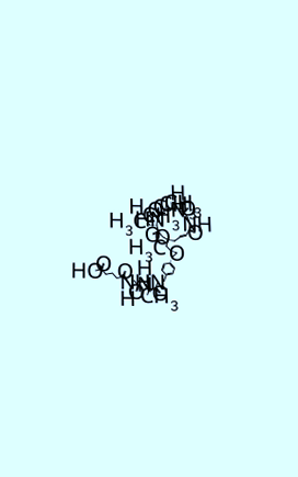 CC(C)C[C@@H]1NC(=O)C(C)(C)C(C)NC(=O)CNC(=O)/C=C/C[C@@H]([C@H](C)[C@H]2O[C@@H]2c2ccc(CNC(=O)C(C)NC(=O)CNC(=O)CCCC(=O)O)cc2)OC1=O